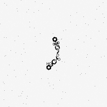 O=C(COCCN1CCN(S(=O)(=O)c2ccccc2)CC1)N1CCC(O)(Cc2ccccc2)CC1